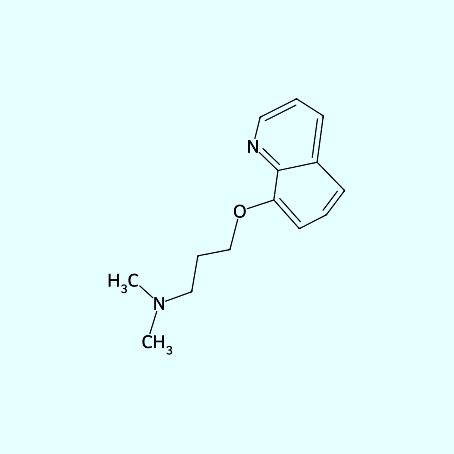 CN(C)CCCOc1cccc2cccnc12